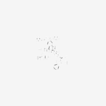 COc1cc2nc(N3CCN(C(=O)C(C)Oc4ccccc4)CC3)nc(N)c2cc1OC.Cl.O